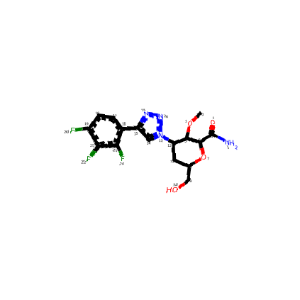 COC1C(C(N)=O)OC(CO)CC1n1cc(-c2ccc(F)c(F)c2F)nn1